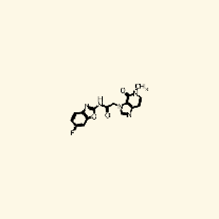 Cn1ccc2ncn(CC(=O)Nc3nc4ccc(F)cc4o3)c2c1=O